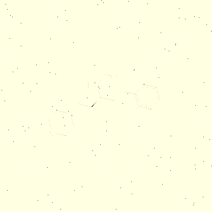 CC(C)(C)N[C@H](CCN1CCOCC1)CSc1ccccc1